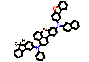 CC1(C)c2ccccc2-c2cc(N(c3ccccc3)c3ccc4c5c(cccc35)Sc3cc(N(c5ccc6ccccc6c5)c5ccc6oc7ccccc7c6c5)ccc3-4)ccc21